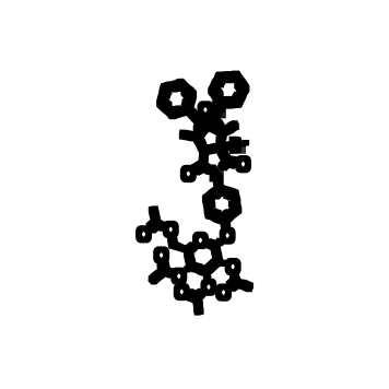 CC(=O)OC[C@H]1O[C@@H](Oc2ccc(N3C(=O)C4C5(C)C(c6ccccc6)=C(c6ccccc6)C(C)(C5O)C4(Br)C3=O)cc2)[C@H](OC(C)=O)[C@@H](OC(C)=O)[C@@H]1OC(C)=O